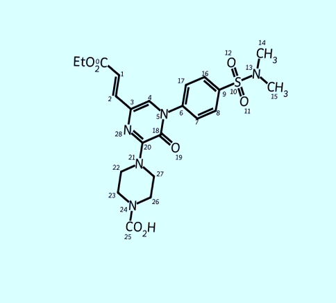 CCOC(=O)/C=C/c1cn(-c2ccc(S(=O)(=O)N(C)C)cc2)c(=O)c(N2CCN(C(=O)O)CC2)n1